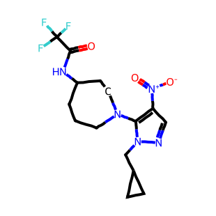 O=C(NC1CCCN(c2c([N+](=O)[O-])cnn2CC2CC2)CC1)C(F)(F)F